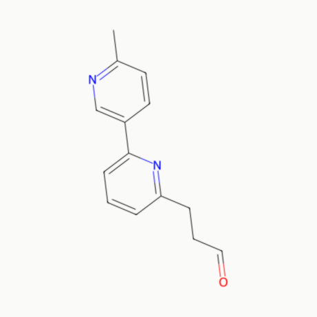 Cc1ccc(-c2cccc(CCC=O)n2)cn1